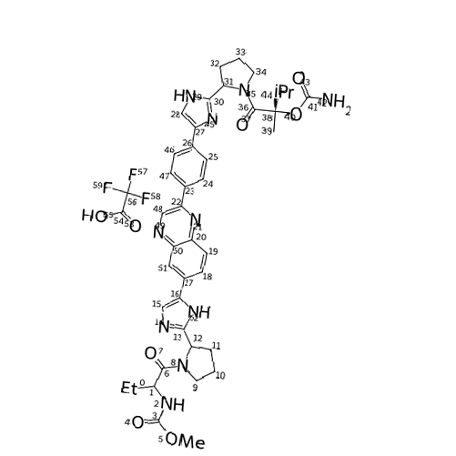 CCC(NC(=O)OC)C(=O)N1CCCC1c1ncc(-c2ccc3nc(-c4ccc(-c5c[nH]c(C6CCCN6C(=O)[C@@](C)(OC(N)=O)C(C)C)n5)cc4)cnc3c2)[nH]1.O=C(O)C(F)(F)F